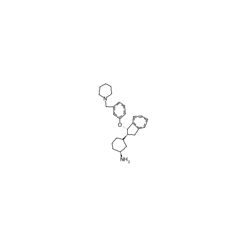 N[C@H]1CCCC([C@@H]2Cc3ccccc3[C@H]2Oc2cccc(CN3CCCCC3)c2)C1